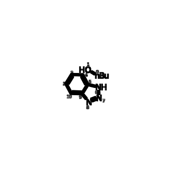 CCCCO.c1ccc2[nH]nnc2c1